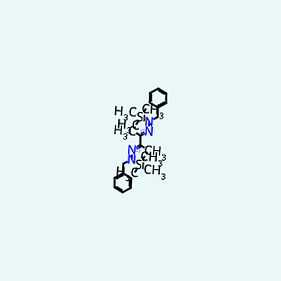 CC(=N\N(Cc1ccccc1)[Si](C)(C)C)/C(C)=N/N(Cc1ccccc1)[Si](C)(C)C